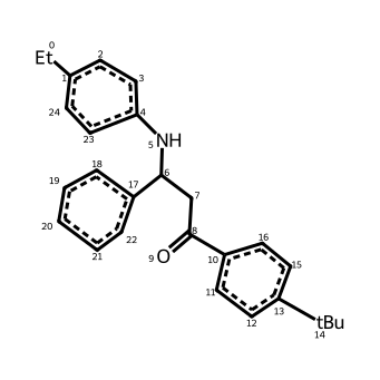 CCc1ccc(NC(CC(=O)c2ccc(C(C)(C)C)cc2)c2ccccc2)cc1